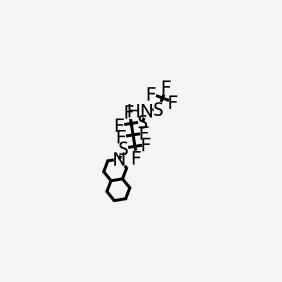 FC(F)(F)SNSC(F)(F)C(F)(F)C(F)(F)SN1CCC2CCCCC2C1